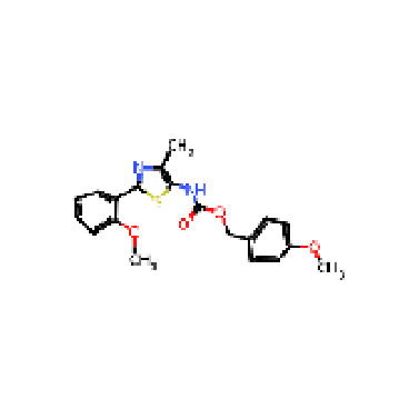 COc1ccc(COC(=O)Nc2sc(-c3ccccc3OC)nc2C)cc1